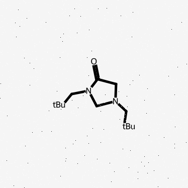 CC(C)(C)CN1CC(=O)N(CC(C)(C)C)C1